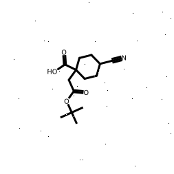 CC(C)(C)OC(=O)CC1(C(=O)O)CCC(C#N)CC1